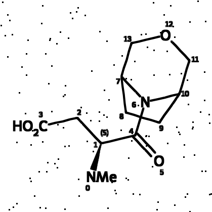 CN[C@@H](CC(=O)O)C(=O)N1C2CCC1COC2